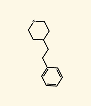 c1ccc(CCC2CC[N]CC2)cc1